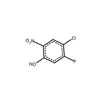 O=[N+]([O-])c1cc(Cl)c(F)cc1O